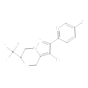 C[C@]1(C(F)(F)F)Cn2nc(-c3ccc(F)cn3)c(Br)c2CO1